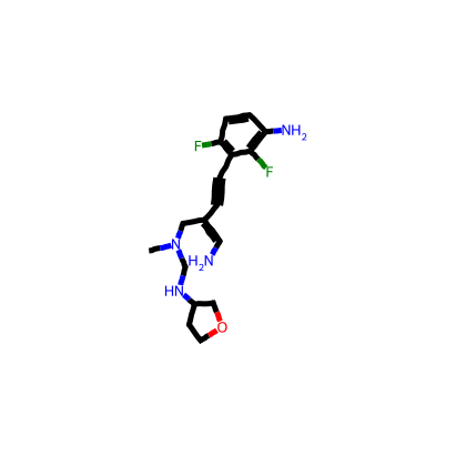 CN(CNC1CCOC1)C/C(C#Cc1c(F)ccc(N)c1F)=C\N